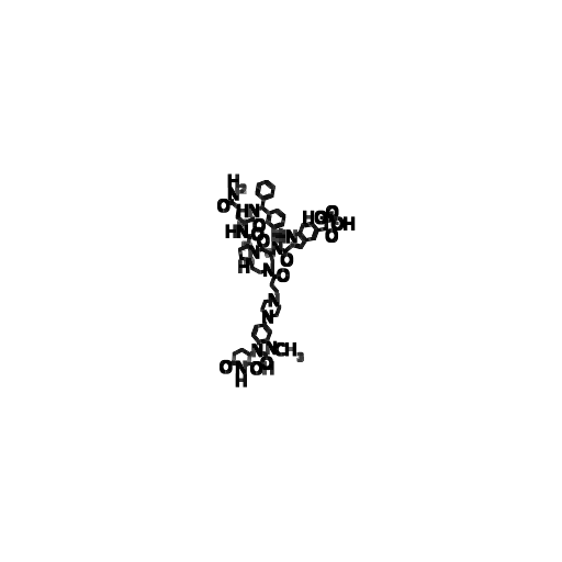 Cn1c(=O)n(C2CCC(=O)NC2O)c2ccc(N3CCN(CCC(=O)N4CC[C@H]5CC[C@@H](C(=O)N[C@@H](CCC(N)=O)C(=O)NC(c6ccccc6)c6ccccc6)N5C(=O)[C@@H](NC(=O)c5cc6cc(C(=O)P(=O)(O)O)ccc6[nH]5)C4)CC3)cc21